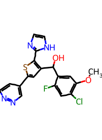 COc1cc(C(O)c2cc(-c3ccnnc3)sc2-c2ncc[nH]2)c(F)cc1Cl